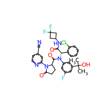 CC(C)(O)c1cc(F)cc(N(C(=O)C2CCC(=O)N2c2cc(C#N)ccn2)[C@H](C(=O)NC2CC(F)(F)C2)c2ccccc2Cl)c1